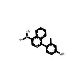 CCCN(CCC)c1cnc(-c2ccc(O)cc2C)c2ccccc12